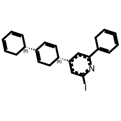 Ic1cc([C@H]2C=CC([C@H]3C=CC=CC3)=CC2)cc(C2=CC=C=CC2)n1